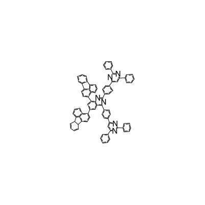 C1=CC2c3cccc4c(-c5cc(-c6ccc7c8c(cccc68)-c6ccccc6-7)c6nc(-c7ccc(-c8cc(-c9ccccc9)nc(-c9ccccc9)n8)cc7)nc(-c7ccc(-c8cc(-c9ccccc9)nc(-c9ccccc9)n8)cc7)c6c5)ccc(c34)C2C=C1